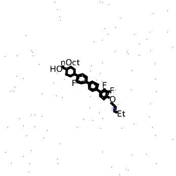 CC/C=C/COc1ccc(-c2ccc(-c3ccc(C4CCC(C(O)CCCCCCCC)CC4)c(F)c3)cc2)c(F)c1F